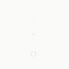 CCCC1CCC(C2CCC(/C=C/C3CCC(CCc4ccc(F)c(F)c4)CC3)CC2)CC1